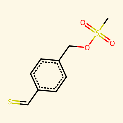 CS(=O)(=O)OCc1ccc(C=S)cc1